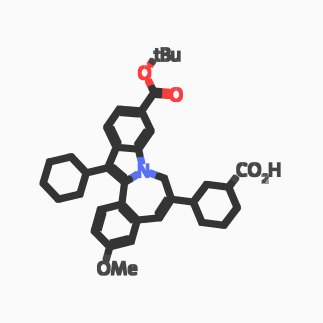 COc1ccc2c(c1)C=C(C1CCCC(C(=O)O)C1)Cn1c-2c(C2CCCCC2)c2ccc(C(=O)OC(C)(C)C)cc21